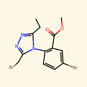 CCc1nnc(CBr)n1-c1ccc(Br)cc1C(=O)OC